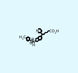 Cc1ccc(S(=O)(=O)NC2Cc3ccc(/C(=C/CCCC(=O)O)c4cccnc4)cc3C2)cc1